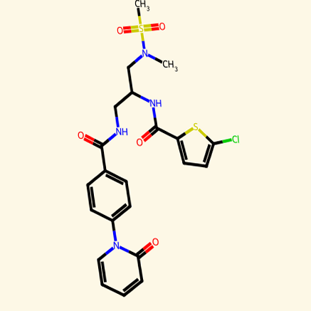 CN(CC(CNC(=O)c1ccc(-n2ccccc2=O)cc1)NC(=O)c1ccc(Cl)s1)S(C)(=O)=O